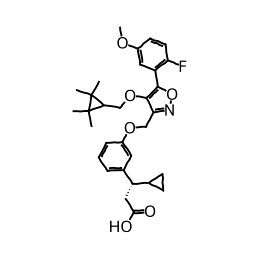 COc1ccc(F)c(-c2onc(COc3cccc([C@@H](CC(=O)O)C4CC4)c3)c2OCC2C(C)(C)C2(C)C)c1